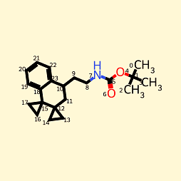 CC(C)(C)OC(=O)NCCC1CC2(CC2)C2(CC2)c2ccccc21